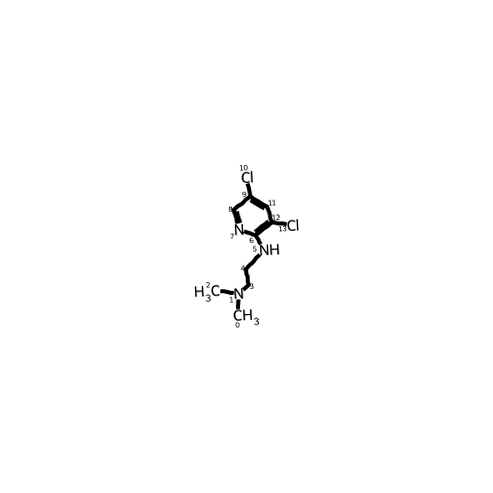 CN(C)CCNc1ncc(Cl)cc1Cl